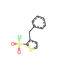 O=S(=O)(Cl)c1sccc1Cc1ccccc1